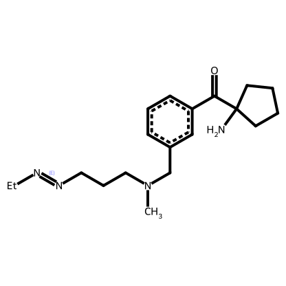 CC/N=N/CCCN(C)Cc1cccc(C(=O)C2(N)CCCC2)c1